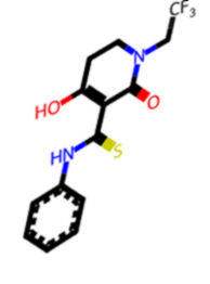 O=C1C(C(=S)Nc2ccccc2)=C(O)CCN1CC(F)(F)F